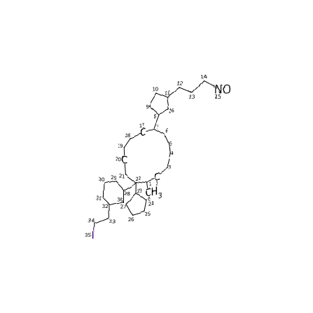 CC1CCCCCC(C2CCC(CCCN=O)C2)CCCCCC1(C1CCCC1)C1CCCC(CCI)C1